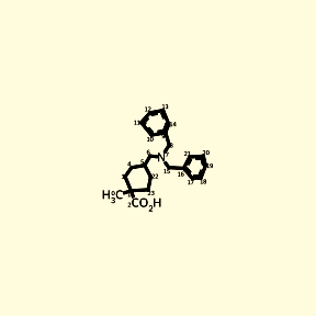 CC1(C(=O)O)CCC(CN(Cc2ccccc2)Cc2ccccc2)CC1